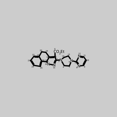 CCOC(=O)c1c(N2CCN(c3ncccn3)CC2)nnc2c1CCc1ccccc1-2